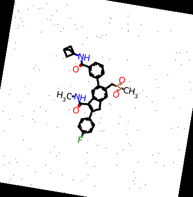 CNC(=O)C1=C(c2ccc(F)cc2)Cc2cc(CS(C)(=O)=O)c(-c3cccc(C(=O)NC45CC(C4)C5)c3)cc21